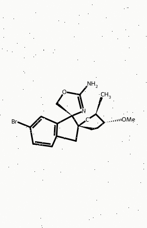 CO[C@@H]1CC[C@]2(Cc3ccc(Br)cc3[C@@]23COC(N)=N3)C[C@H]1C